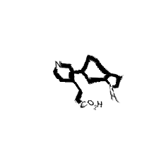 O=C(O)/C=C/c1ccncc1-c1ccc2cc[nH]c2c1